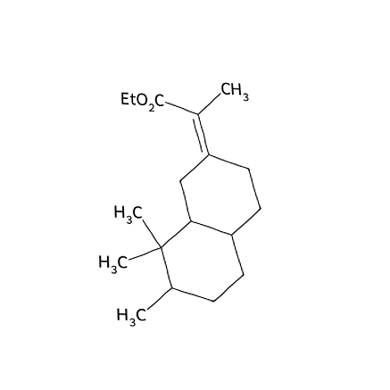 CCOC(=O)/C(C)=C1/CCC2CCC(C)C(C)(C)C2C1